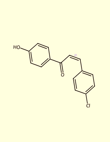 O=C(/C=C\c1ccc(Cl)cc1)c1ccc(O)cc1